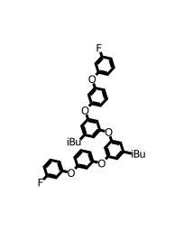 CCC(C)c1cc(Oc2cccc(Oc3cccc(F)c3)c2)cc(Oc2cc(Oc3cccc(Oc4cccc(F)c4)c3)cc(C(C)CC)c2)c1